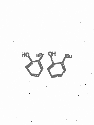 CCC(C)c1ccccc1O.CCCc1ccccc1O